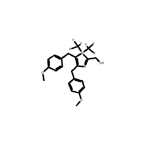 COc1ccc(CC2=C(Cc3ccc(OC)cc3)[N+](C(F)(F)F)(C(F)(F)F)C(CO)=N2)cc1